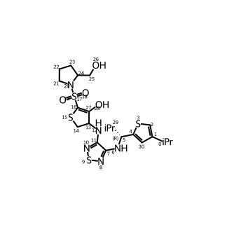 CC(C)c1csc([C@H](Nc2nsnc2NC2CSC(S(=O)(=O)N3CCCC3CO)=C2O)C(C)C)c1